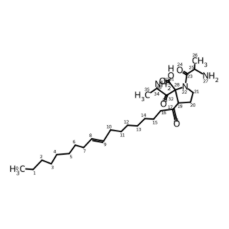 CCCCCCCCC=CCCCCCCCC(=O)C1CCN(C(=O)C(C)N)C1(C(=O)O)C(=O)C(C)N